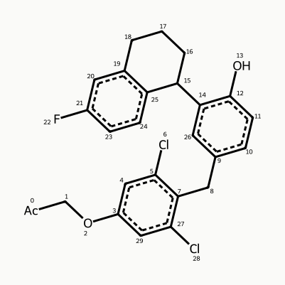 CC(=O)COc1cc(Cl)c(Cc2ccc(O)c(C3CCCc4cc(F)ccc43)c2)c(Cl)c1